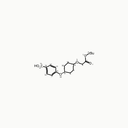 CC(C)(C)OC(=O)COC1CCC(Oc2ccc(C(=O)O)cc2)CC1